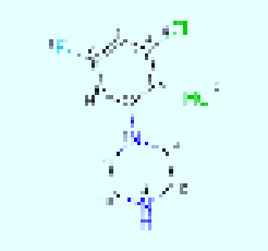 Cl.Fc1cc(Cl)cc(N2CCNCC2)c1